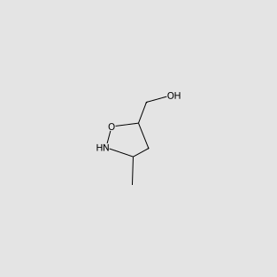 CC1CC(CO)ON1